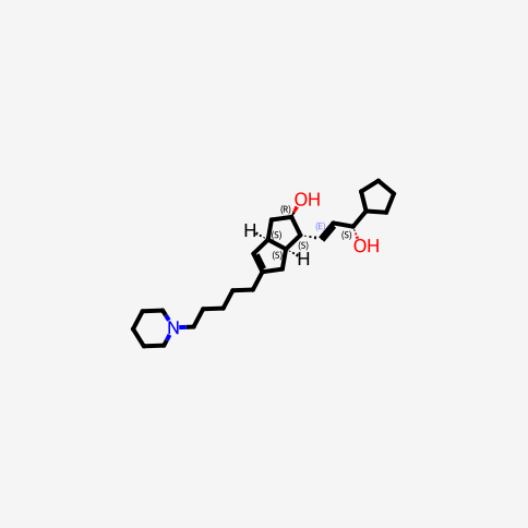 O[C@H](/C=C/[C@@H]1[C@H]2CC(CCCCCN3CCCCC3)=C[C@H]2C[C@H]1O)C1CCCC1